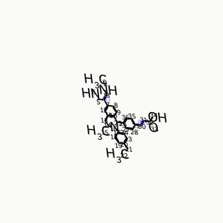 CCN/C=C(\C=N)c1ccc2c(c1)CC(C)N(c1ccc(CC)cc1)C2c1ccc(/C=C/C(=O)O)cc1